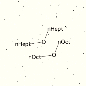 CCCCCCCCOCCCCCCCC.CCCCCCCOCCCCCCC